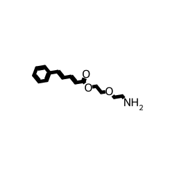 NCCOCCOC(=O)/C=C/C=C/c1ccccc1